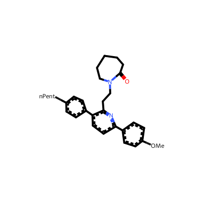 CCCCCc1ccc(-c2ccc(-c3ccc(OC)cc3)nc2CCN2CCCCCC2=O)cc1